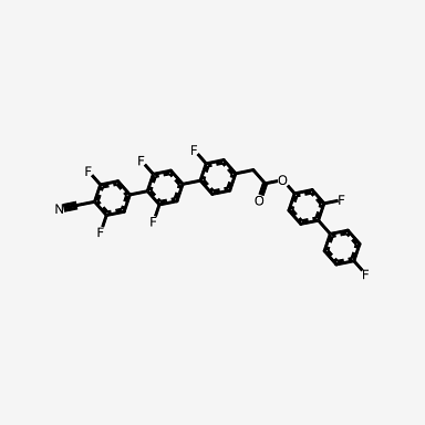 N#Cc1c(F)cc(-c2c(F)cc(-c3ccc(CC(=O)Oc4ccc(-c5ccc(F)cc5)c(F)c4)cc3F)cc2F)cc1F